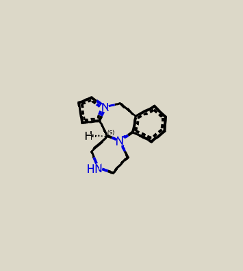 c1ccc2c(c1)Cn1cccc1[C@@H]1CNCCN21